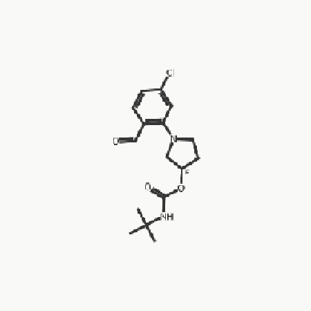 CC(C)(C)NC(=O)O[C@@H]1CCN(c2cc(Cl)ccc2C=O)C1